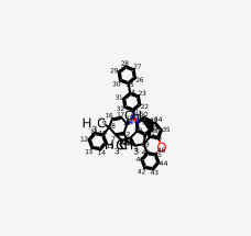 CC1C2=C3C(C)C4=C1C(C)(c1ccccc1)C=CC4(C)N(c1ccc(-c4ccccc4)cc1)c1ccc4c(c1)C3(c1ccccc1O4)c1ccccc12